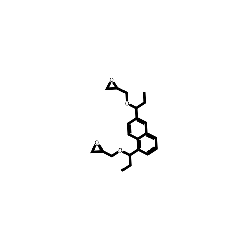 CCC(OCC1CO1)c1ccc2c(C(CC)OCC3CO3)cccc2c1